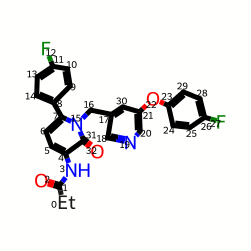 CCC(=O)Nc1ccc(-c2ccc(F)cc2)n(Cc2cncc(Oc3ccc(F)cc3)c2)c1=O